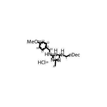 CCCCCCCCCCCNC1N=C(C)N=C(NCc2ccc(OC)cc2)N1.Cl